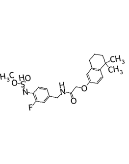 CO[SH](=O)=Nc1ccc(CNC(=O)COc2ccc3c(c2)CCCC3(C)C)cc1F